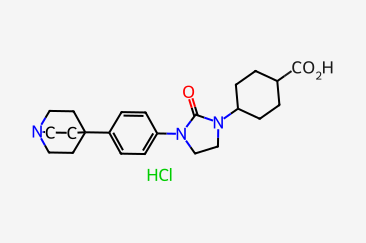 Cl.O=C(O)C1CCC(N2CCN(c3ccc(C45CCN(CC4)CC5)cc3)C2=O)CC1